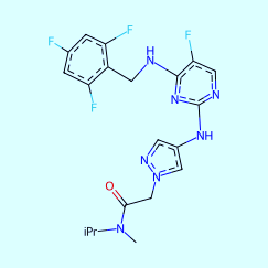 CC(C)N(C)C(=O)Cn1cc(Nc2ncc(F)c(NCc3c(F)cc(F)cc3F)n2)cn1